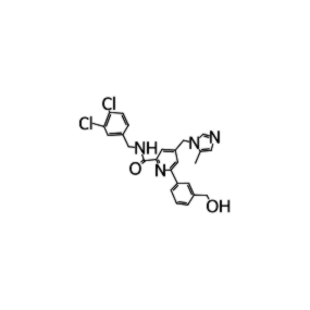 Cc1cncn1Cc1cc(C(=O)NCc2ccc(Cl)c(Cl)c2)nc(-c2cccc(CO)c2)c1